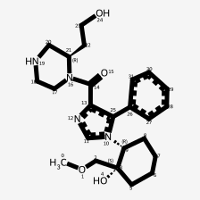 COC[C@]1(O)CCCC[C@H]1n1cnc(C(=O)N2CCNC[C@H]2CCO)c1-c1ccccc1